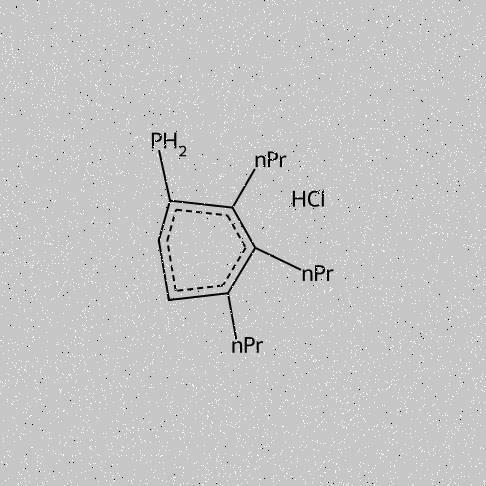 CCCc1ccc(P)c(CCC)c1CCC.Cl